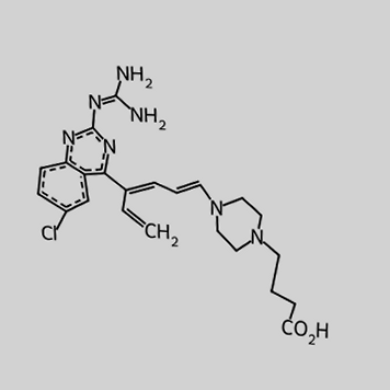 C=C/C(=C\C=C\N1CCN(CCCC(=O)O)CC1)c1nc(N=C(N)N)nc2ccc(Cl)cc12